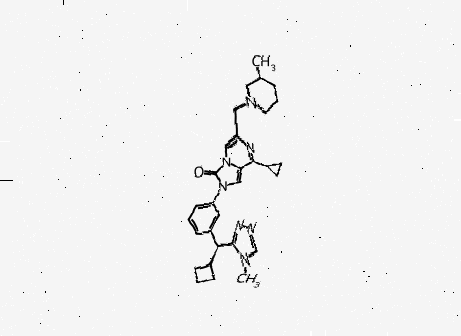 C[C@H]1CCCN(Cc2cn3c(=O)n(-c4cccc([C@@H](c5nncn5C)C5CCC5)c4)cc3c(C3CC3)n2)C1